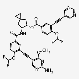 COc1nc(N)ncc1C#Cc1cc(C(=O)N[C@H]2CC3(CC3)C[C@@H]2OC(=O)c2ccc(OC(F)F)c(C#Cc3cncnc3)c2)ccc1OC(F)F